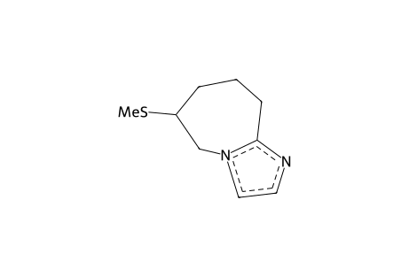 CSC1CCCc2nccn2C1